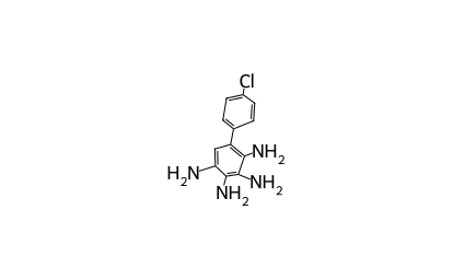 Nc1cc(-c2ccc(Cl)cc2)c(N)c(N)c1N